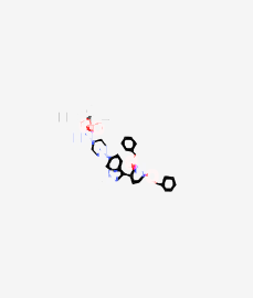 Cn1cc(-c2ccc(OCc3ccccc3)nc2OCc2ccccc2)c2ccc(N3CCC(NC(=O)OC(C)(C)C)CC3)cc21